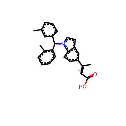 C/C(=C\C(=O)O)c1ccc2c(ccn2C(c2cccc(C)c2)c2ccccc2C)c1